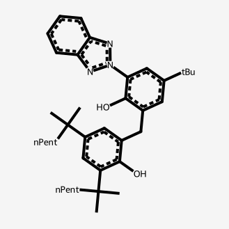 CCCCCC(C)(C)c1cc(Cc2cc(C(C)(C)C)cc(-n3nc4ccccc4n3)c2O)c(O)c(C(C)(C)CCCCC)c1